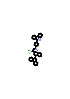 Clc1cc(-c2ccc(-c3nc4ccccc4c4ccccc34)cc2)nc2c1cc(-c1cc3ccccc3c3ccccc13)c1ccccc12